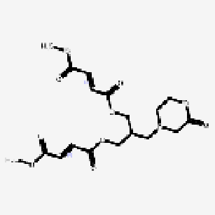 COC(=O)/C=C/C(=O)OCC(COC(=O)/C=C/C(=O)OC)CN1CCOC(=O)C1